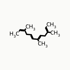 CC=C(C)CC=CC(C)=CCC(C)=CC